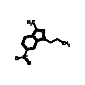 CCCn1nc(C)c2ccc([N+](=O)[O-])cc21